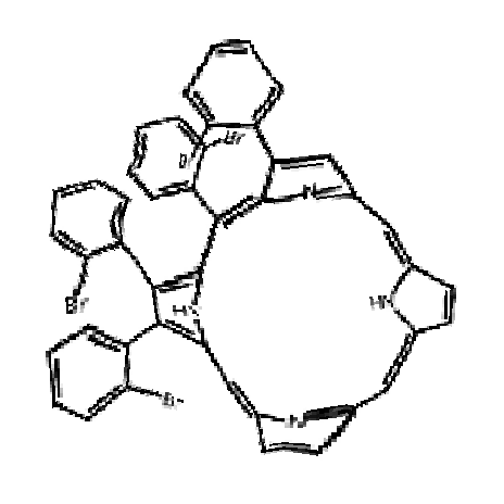 Brc1ccccc1C1=Cc2cc3ccc(cc4nc(cc5[nH]c(c(-c6ccccc6Br)c1n2)c(-c1ccccc1Br)c5-c1ccccc1Br)C=C4)[nH]3